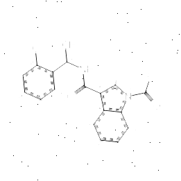 CC(=O)n1cc(C(=O)NC(C)c2ccccc2Cl)c2ccccc21